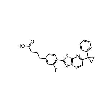 O=C(O)CCCc1ccc(-c2nc3ccc(C4(c5ccccc5)CC4)nc3s2)c(F)c1